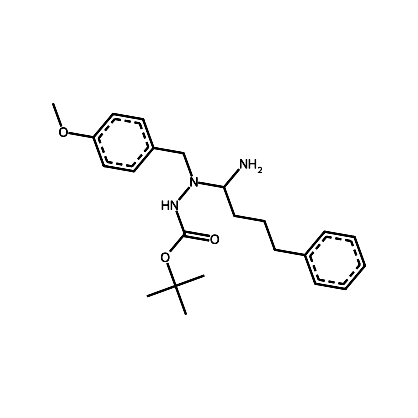 COc1ccc(CN(NC(=O)OC(C)(C)C)C(N)CCCc2ccccc2)cc1